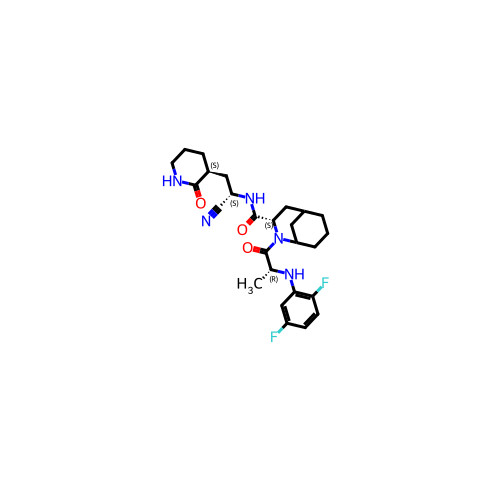 C[C@@H](Nc1cc(F)ccc1F)C(=O)N1C2CCCC(C2)C[C@H]1C(=O)N[C@H](C#N)C[C@@H]1CCCNC1=O